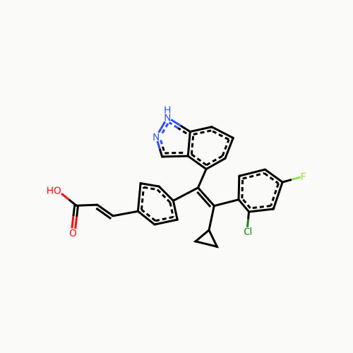 O=C(O)C=Cc1ccc(C(=C(c2ccc(F)cc2Cl)C2CC2)c2cccc3[nH]ncc23)cc1